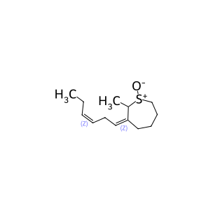 CC/C=C\C/C=C1/CCCC[S+]([O-])C1C